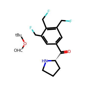 CC(C)(C)OC=O.O=C(c1cc(CF)c(CF)c(CF)c1)[C@@H]1CCCN1